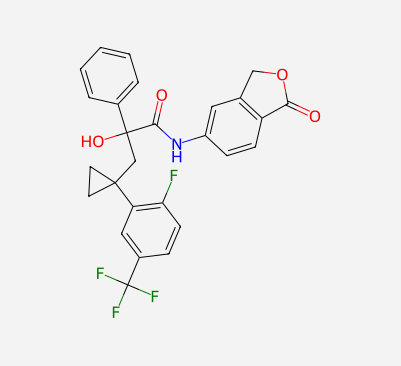 O=C1OCc2cc(NC(=O)C(O)(CC3(c4cc(C(F)(F)F)ccc4F)CC3)c3ccccc3)ccc21